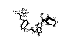 COC(=O)C(Cc1ccc(OCCn2c(=O)sc3cc(C(=O)c4ccccc4)ccc32)cc1)NC(=O)OC(C)(C)C